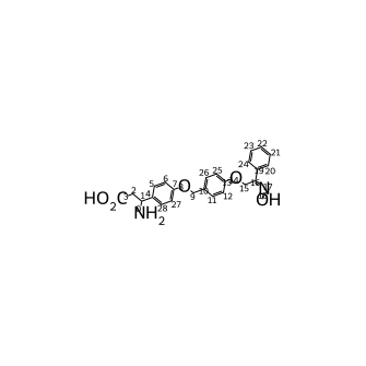 NC(CC(=O)O)c1ccc(OCc2ccc(OC/C(=N\O)c3ccccc3)cc2)cc1